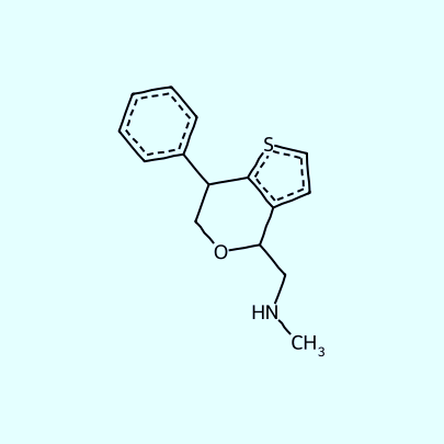 CNCC1OCC(c2ccccc2)c2sccc21